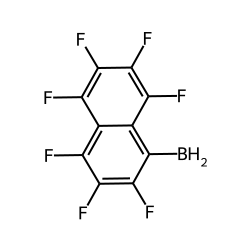 Bc1c(F)c(F)c(F)c2c(F)c(F)c(F)c(F)c12